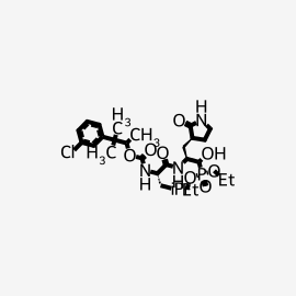 CCOP(=O)(OCC)C(O)[C@H](C[C@@H]1CCNC1=O)NC(=O)[C@H](CC(C)C)NC(=O)OC(C)C(C)(C)c1cccc(Cl)c1